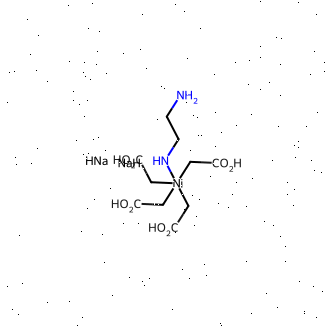 NCC[NH][Ni]([CH2]C(=O)O)([CH2]C(=O)O)([CH2]C(=O)O)[CH2]C(=O)O.[NaH].[NaH]